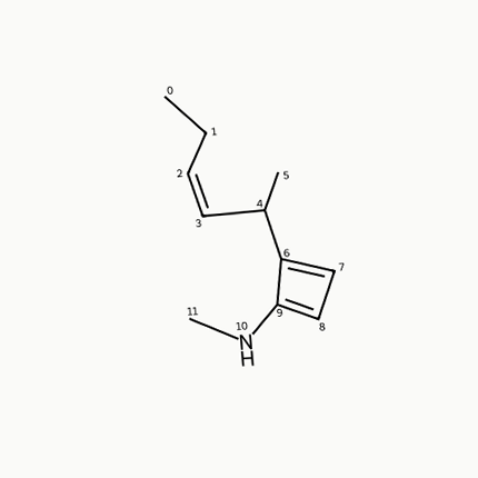 CC/C=C\C(C)C1=CC=C1NC